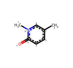 Cc1ccc(=O)n(C)c1